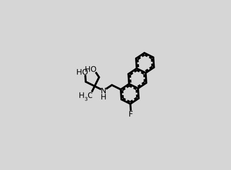 CC(CO)(CO)NCc1cc(F)cc2cc3ccccc3cc12